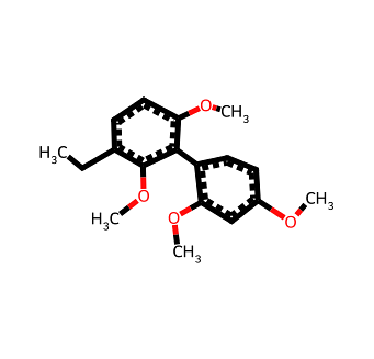 CCc1c[c]c(OC)c(-c2ccc(OC)cc2OC)c1OC